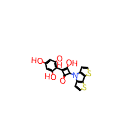 O=C1C(c2c(O)cc(O)cc2O)=C(O)C1n1c2ccsc2c2sccc21